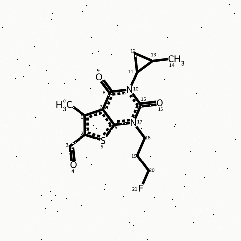 Cc1c(C=O)sc2c1c(=O)n(C1CC1C)c(=O)n2CCCF